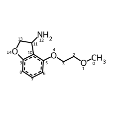 COCCOc1cccc2c1C(N)CO2